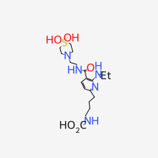 CCNc1nc(CCCCNC(=O)O)ccc1C(=O)NCCN1CCS(O)(O)CC1